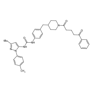 Cc1ccc(-n2nc(C(C)(C)C)cc2NC(=O)Nc2ccc(CC3CCN(C(=O)CCCC(=O)c4ccccc4)CC3)cc2)cc1